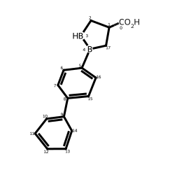 O=C(O)C1CBB(c2ccc(-c3ccccc3)cc2)C1